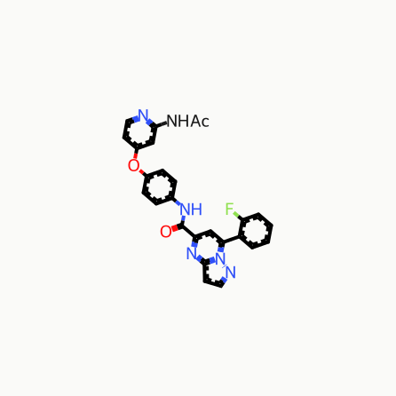 CC(=O)Nc1cc(Oc2ccc(NC(=O)c3cc(-c4ccccc4F)n4nccc4n3)cc2)ccn1